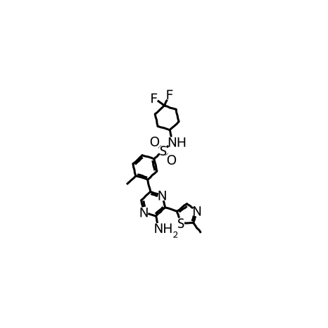 Cc1ncc(-c2nc(-c3cc(S(=O)(=O)NC4CCC(F)(F)CC4)ccc3C)cnc2N)s1